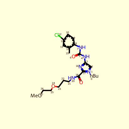 CCCCn1cc(NC(=O)Nc2ccc(Cl)cc2C)nc1C(=O)NCCCOCCOC